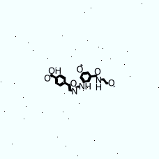 COCCNC(=O)c1cc(Nc2ncc(-c3ccc(C(=O)O)cc3)o2)cc(OC)c1